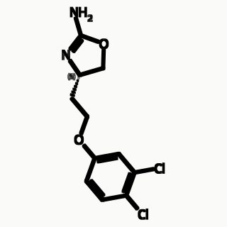 NC1=N[C@@H](CCOc2ccc(Cl)c(Cl)c2)CO1